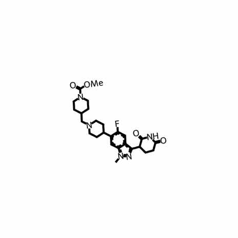 COC(=O)N1CCC(CN2CCC(c3cc4c(cc3F)c(C3CCC(=O)NC3=O)nn4C)CC2)CC1